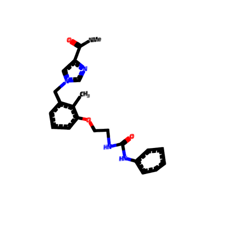 CNC(=O)c1cn(Cc2cccc(OCCNC(=O)Nc3ccccc3)c2C)cn1